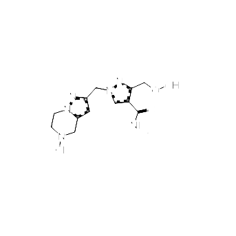 COCc1nn(Cc2cc3n(n2)CCN(C)C3)cc1C(N)=O